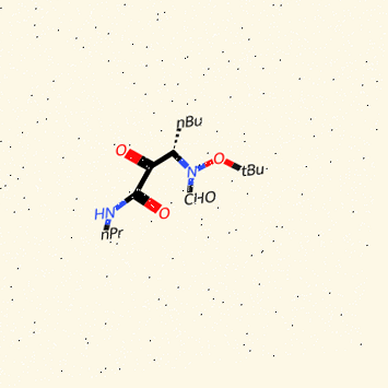 CCCC[C@@H](C(=O)C(=O)NCCC)N(C=O)OC(C)(C)C